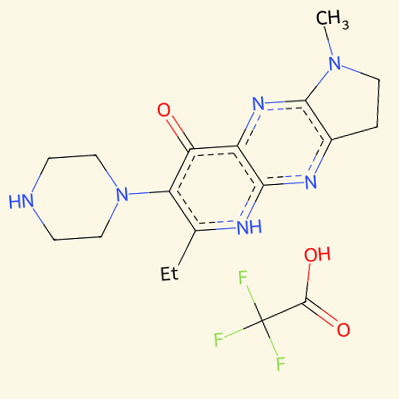 CCc1[nH]c2nc3c(nc2c(=O)c1N1CCNCC1)N(C)CC3.O=C(O)C(F)(F)F